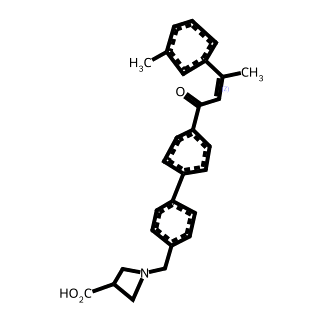 C/C(=C/C(=O)c1ccc(-c2ccc(CN3CC(C(=O)O)C3)cc2)cc1)c1cccc(C)c1